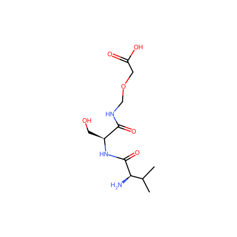 CC(C)[C@@H](N)C(=O)N[C@@H](CO)C(=O)NCOCC(=O)O